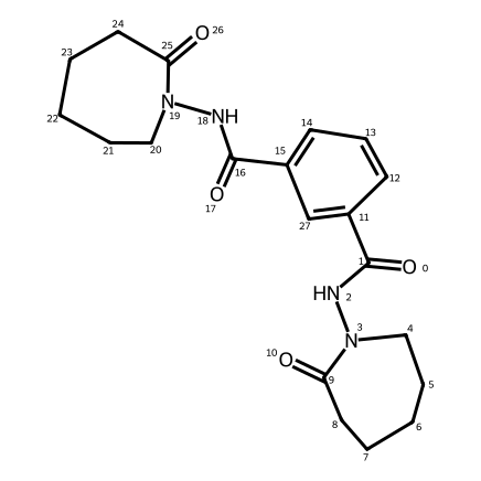 O=C(NN1CCCCCC1=O)c1cccc(C(=O)NN2CCCCCC2=O)c1